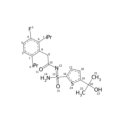 CC(C)c1ccc(F)c(C(C)C)c1CC(=O)N=S(N)(=O)c1ccc(C(C)(C)O)s1